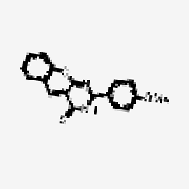 COc1ccc(C2N=C3Oc4ccccc4C=C3C(=S)N2)cc1